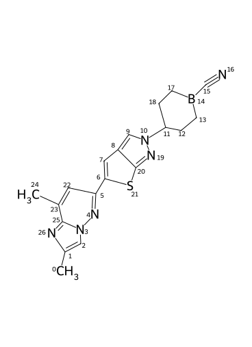 Cc1cn2nc(-c3cc4cn(C5CCB(C#N)CC5)nc4s3)cc(C)c2n1